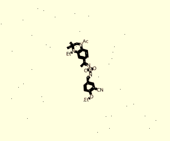 CCOc1ccc(C=NS(=O)(=O)N=C(C)c2ccc3c(c2)N(CC)C(C)(C)CN3C(C)=O)cc1C#N